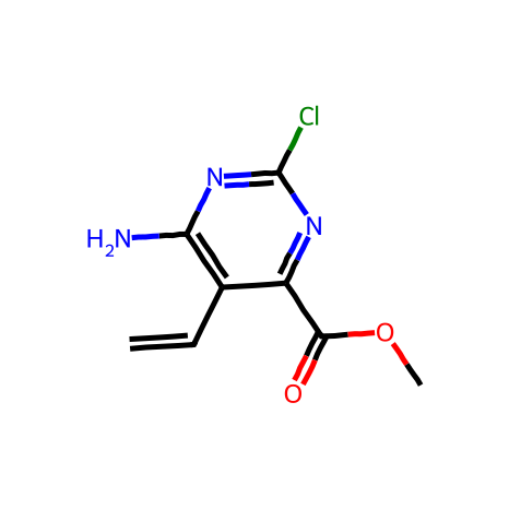 C=Cc1c(N)nc(Cl)nc1C(=O)OC